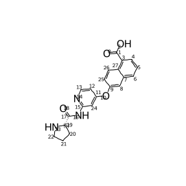 O=C(O)c1cccc2cc(Oc3ccnc(NC(=O)[C@@H]4CCCN4)c3)ccc12